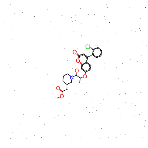 COC(=O)C[C@@H]1CCCN(C(=O)C(C)Oc2ccc3c(-c4ccccc4Cl)cc(=O)oc3c2)C1